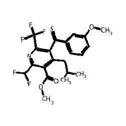 COC(=O)c1c(C(F)F)nc(C(F)(F)F)c(C(=S)c2cccc(OC)c2)c1CC(C)C